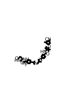 Cc1cc(O[C@H]2C(C)(C)[C@H](NC(=O)c3ccc(N4CC(CN5CC(c6ccc(C(=O)N[C@H]7CCC(=O)NC7=O)c(F)c6)C5)C4)cc3)C2(C)C)cc(C)c1C#N